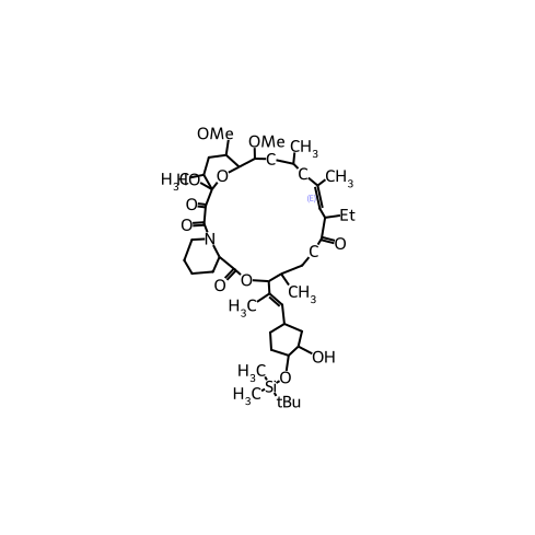 CCC1/C=C(\C)CC(C)CC(OC)C2OC(O)(C(=O)C(=O)N3CCCCC3C(=O)OC(C(C)=CC3CCC(O[Si](C)(C)C(C)(C)C)C(O)C3)C(C)CCC1=O)C(C)CC2OC